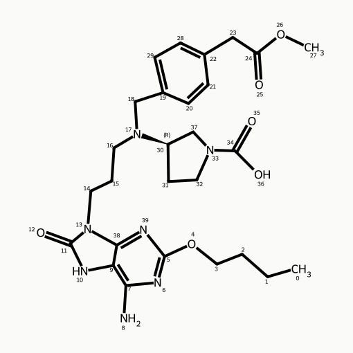 CCCCOc1nc(N)c2[nH]c(=O)n(CCCN(Cc3ccc(CC(=O)OC)cc3)[C@@H]3CCN(C(=O)O)C3)c2n1